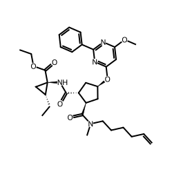 C=CCCCCN(C)C(=O)[C@@H]1C[C@H](Oc2cc(OC)nc(-c3ccccc3)n2)C[C@H]1C(=O)N[C@]1(C(=O)OCC)C[C@H]1CC